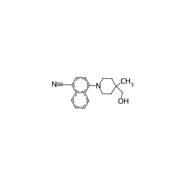 CC1(CO)CCN(c2ccc(C#N)c3ccccc23)CC1